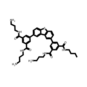 CCCCNC(=O)c1cc(C(=O)NCCCN)cc(-c2ccc3sc4ccc(-c5cc(C(=O)NCCCN)cc(C(=O)NCCCN)c5)cc4c3c2)c1